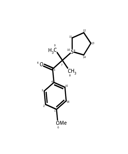 COc1ccc(C(=O)C(C)(C)[S+]2CCCC2)cc1